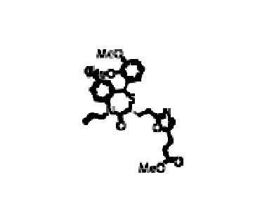 C=CCN1C(=O)[C@@H](CCc2ncc(CCC(=O)OC)o2)S[C@H](c2cccc(OC)c2OC)c2cc(Cl)ccc21